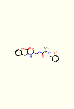 C[C@H](NCc1ccccc1O)C(=O)NCC(=O)N[C@@H](Cc1ccccc1)C(=O)O